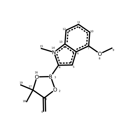 C=C1OB(c2cc3c(OC)cccc3n2C)OC1(C)C